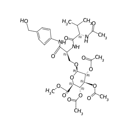 COC(=O)[C@H]1O[C@@H](OC[C@H](NC(=O)[C@@H](NC(C)=O)C(C)C)C(=O)Nc2ccc(CO)cc2)[C@H](OC(C)=O)[C@@H](OC(C)=O)[C@@H]1OC(C)=O